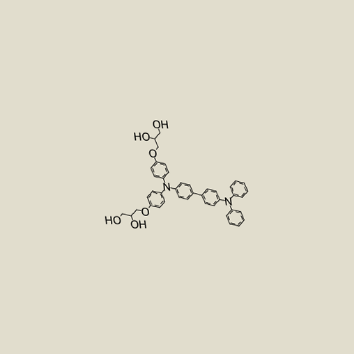 OCC(O)COc1ccc(N(c2ccc(OCC(O)CO)cc2)c2ccc(-c3ccc(N(c4ccccc4)c4ccccc4)cc3)cc2)cc1